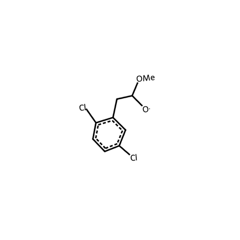 COC([O])Cc1cc(Cl)ccc1Cl